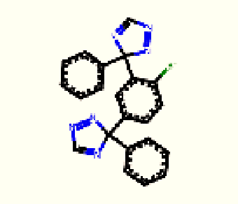 Brc1[c]cc(C2(c3ccccc3)N=CN=N2)cc1C1(c2ccccc2)N=CN=N1